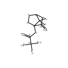 CC1(C)C2CCC1(CC(=O)C(F)(F)F)C(=S)C2